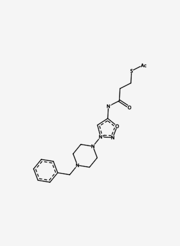 CC(=O)SCCC(=O)[N-]c1c[n+](N2CCN(Cc3ccccc3)CC2)no1